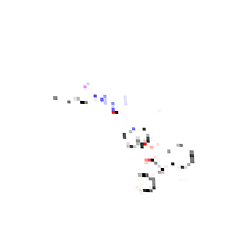 CCc1cc(NC(=O)C[N+]23CCC(CC2)[C@@H](OC(=O)C(O)(c2ccsc2)C2CCCCC2)C3)no1.[Br-]